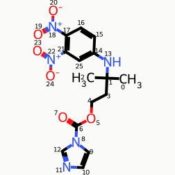 CC(C)(CCOC(=O)n1ccnc1)Nc1ccc([N+](=O)[O-])c([N+](=O)[O-])c1